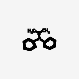 CN(C)P(c1ccccc1)c1ccccc1